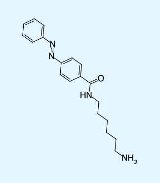 NCCCCCCNC(=O)c1ccc(N=Nc2ccccc2)cc1